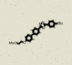 COCCOc1ccc(-c2ccc(-c3nnc(-c4ccc(C(C)(C)C)cc4)o3)cc2)cc1